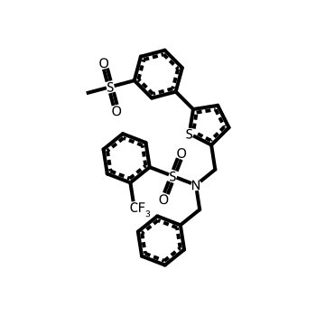 CS(=O)(=O)c1cccc(-c2ccc(CN(Cc3ccccc3)S(=O)(=O)c3ccccc3C(F)(F)F)s2)c1